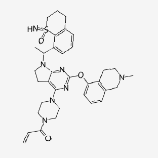 C=CC(=O)N1CCN(c2nc(Oc3cccc4c3CCN(C)C4)nc3c2CCN3C(C)c2cccc3c2S(=N)(=O)CCC3)CC1